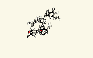 Nc1nc2c(ncn2[C@@H]2O[C@@H]3COP(O)(=S)O[C@H]4[C@H](n5nnc6c(N)ncnc65)O[C@H](COP(O)(=S)O[C@H]3[C@H]2O)[C@]42CC2(F)F)c(=O)[nH]1